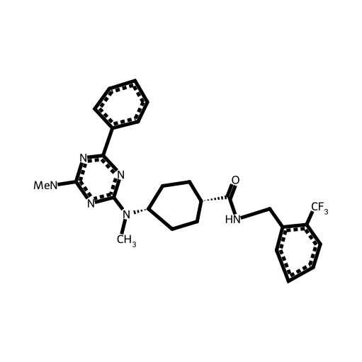 CNc1nc(-c2ccccc2)nc(N(C)[C@H]2CC[C@@H](C(=O)NCc3ccccc3C(F)(F)F)CC2)n1